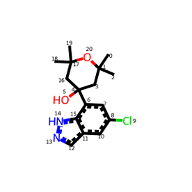 CC1(C)CC(O)(c2cc(Cl)cc3cn[nH]c23)CC(C)(C)O1